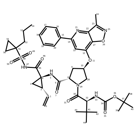 C=C[C@@H]1C[C@]1(NC(=O)[C@@H]1C[C@@H](Oc2cc(-c3ccccc3)nc3c(C)noc23)CN1C(=O)[C@@H](NC(=O)OC(C)(C)C)C(C)(C)C)C(=O)NS(=O)(=O)C1(CCC)CC1